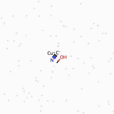 CO.[C-]#N.[Cu+]